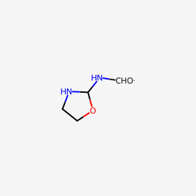 O=[C]NC1NCCO1